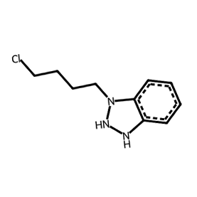 ClCCCCN1NNc2ccccc21